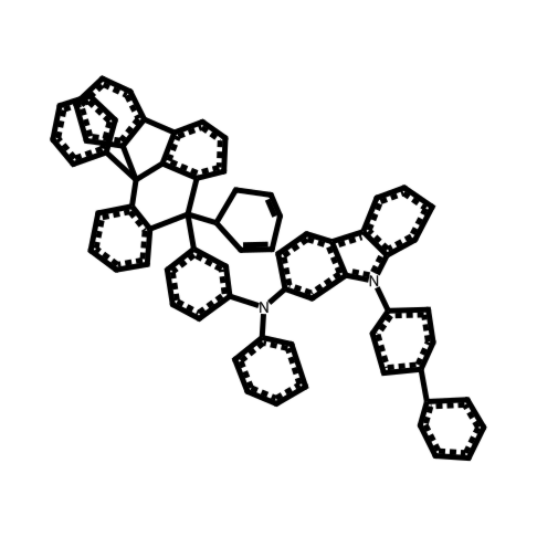 C1=CCC(C2(c3cccc(N(c4ccccc4)c4ccc5c6ccccc6n(-c6ccc(-c7ccccc7)cc6)c5c4)c3)c3ccccc3C3(c4ccccc4)c4ccccc4-c4cccc2c43)C=C1